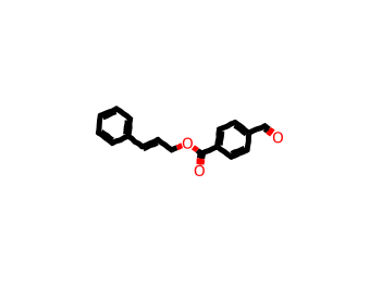 O=Cc1ccc(C(=O)OCC=Cc2ccccc2)cc1